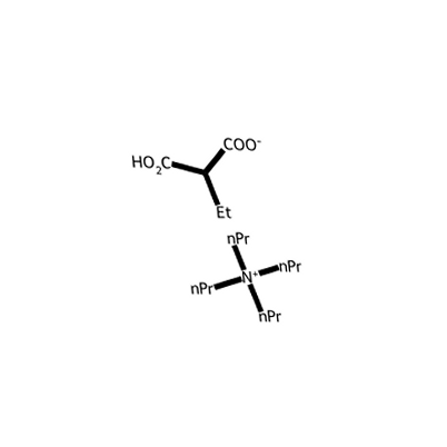 CCC(C(=O)[O-])C(=O)O.CCC[N+](CCC)(CCC)CCC